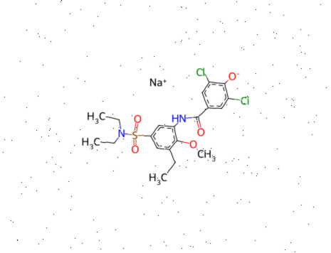 CCc1cc(S(=O)(=O)N(CC)CC)cc(NC(=O)c2cc(Cl)c([O-])c(Cl)c2)c1OC.[Na+]